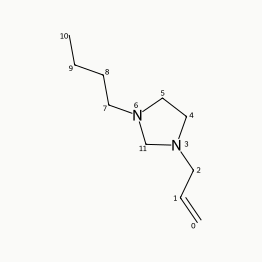 C=CCN1CCN(CCCC)C1